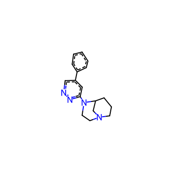 c1ccc(-c2cnnc(N3CCN4CCCC3C4)c2)cc1